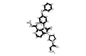 C=CC(=O)N1CC[C@@H](n2c(=O)n(-c3ccc(Oc4ccccc4)cc3)c3c(/C(N)=N/O)nccc32)C1